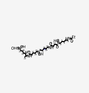 CCC(=O)NCCCCCN(O)C(=O)CCC(=O)NC/C=C/CCN(O)CCCCC(O)NC(C)CCCCN(O)C=O